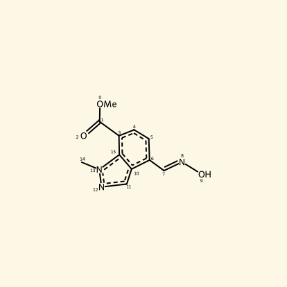 COC(=O)c1ccc(/C=N/O)c2cnn(C)c12